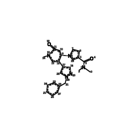 CN(C)C(=O)c1ccn(-c2cc(=O)n(C)cc2-c2cnn(Cc3ccccc3)c2)c1